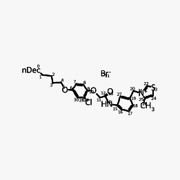 CCCCCCCCCCCCCCOc1ccc(OCC(=O)Nc2cccc(C[n+]3cscc3C)c2)c(Cl)c1.[Br-]